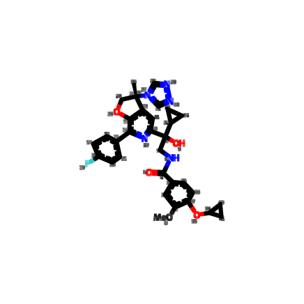 COc1cc(C(=O)NCC(O)(c2cc3c(c(-c4ccc(F)cc4)n2)OC[C@]3(C)n2cnnc2)C2CC2)ccc1OC1CC1